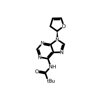 CC(C)(C)C(=O)Nc1ncnc2c1ncn2[C@H]1CC=CO1